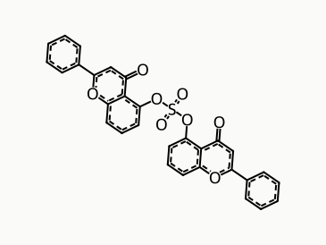 O=c1cc(-c2ccccc2)oc2cccc(OS(=O)(=O)Oc3cccc4oc(-c5ccccc5)cc(=O)c34)c12